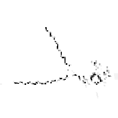 CCCCCCCCCCCCCCCC(=O)O[C@H](COC(=O)CCCCCCCCCCCCS)COP(=O)(O)OC1C(O)[C@@H](OP(=O)(O)O)C(OP(=O)(O)O)[C@@H](O)[C@H]1O